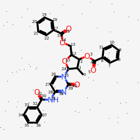 CC1C(OC(=O)c2ccccc2)C(COC(=O)c2ccccc2)OC1n1ccc(NC(=O)c2ccccc2)nc1=O